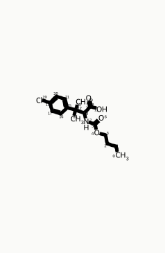 CCCCOC(=O)NC(C(=O)O)C(C)(C)c1ccc(Cl)cc1